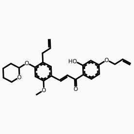 C=CCOc1ccc(C(=O)/C=C/c2cc(CC=C)c(OC3CCCCO3)cc2OC)c(O)c1